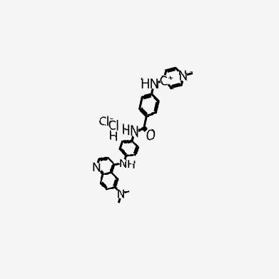 CN(C)c1ccc2nccc(Nc3ccc(NC(=O)c4ccc(N[c+]5ccn(C)cc5)cc4)cc3)c2c1.Cl.[Cl-]